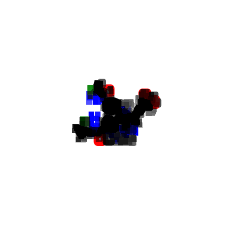 C=C(F)C(=O)Nc1ccc(-c2c(-c3ccc(C(=O)NCC4(F)CC4)c(OC)c3)c3c(N)ncc(C#CC(C)(C)S(C)(=O)=O)c3n2C)cc1